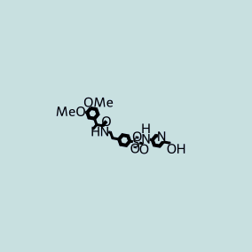 COc1ccc(C(C)C(=O)NCCc2ccc(S(=O)(=O)C(=O)Nc3ccc(CO)nc3)cc2)cc1OC